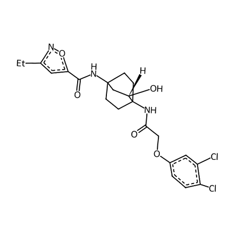 CCc1cc(C(=O)NC23CCC(NC(=O)COc4ccc(Cl)c(Cl)c4)(CC2)[C@@H](O)C3)on1